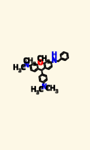 COc1cc(NCc2ccccc2)ccc1C(c1ccc(N(C)C)cc1)c1ccc(N(C)C)cc1